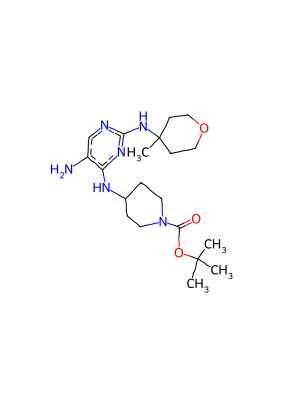 CC1(Nc2ncc(N)c(NC3CCN(C(=O)OC(C)(C)C)CC3)n2)CCOCC1